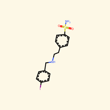 NS(=O)(=O)c1ccc(CCNCc2ccc(I)cc2)cc1